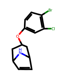 Clc1cc(OC2CC3C=CC(C2)N3)ccc1Br